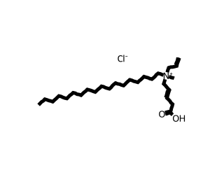 C=CC[N+](C)(CC=CCC(=O)O)CCCCCCCCCCCCCCCCCC.[Cl-]